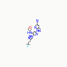 CC(C)(F)CCc1cn(-c2cnc(-n3ncc4cc(C#N)cnc43)cc2N[C@@H]2CCOC2)nn1